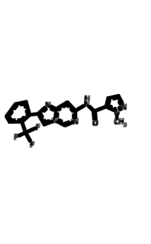 Cn1nccc1C(=O)Nc1cc2nc(-c3ccccc3C(F)(F)F)cn2cn1